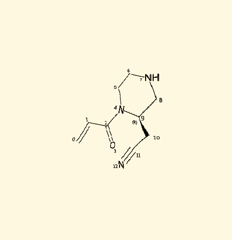 C=CC(=O)N1CCNC[C@H]1CC#N